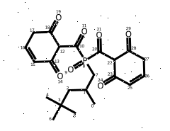 CC(CC(C)(C)C)CP(=O)(C(=O)C1C(=O)C=CCC1=O)C(=O)C1C(=O)C=CCC1=O